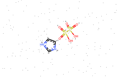 O=S(=O)(O)S(=O)(=O)O.c1c[nH]cn1